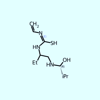 C=C/N=C(/S)NC(CC)CN[C@H](O)C(C)C